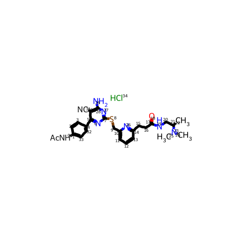 CC(=O)Nc1ccc(-c2nc(SCc3cccc(CCC(=O)NCC(C)N(C)C)n3)nc(N)c2C#N)cc1.Cl